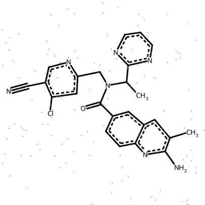 Cc1cc2cc(C(=O)N(Cc3cc(Cl)c(C#N)cn3)C(C)c3ncccn3)ccc2nc1N